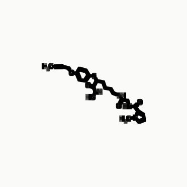 CC#CCOc1ccc(SC(CCCCNC(=O)CNC(=O)c2cccn2C)C(=O)NO)cc1